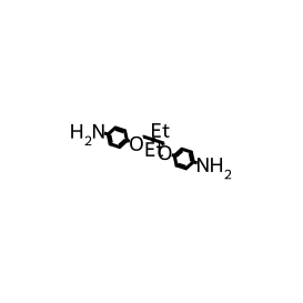 CCC(CC)(COc1ccc(N)cc1)COc1ccc(N)cc1